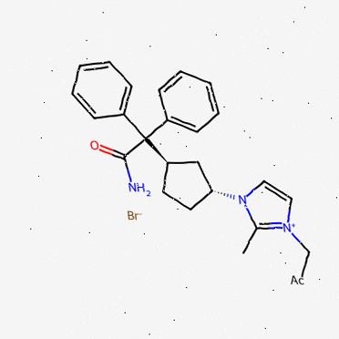 CC(=O)C[n+]1ccn([C@@H]2CC[C@@H](C(C(N)=O)(c3ccccc3)c3ccccc3)C2)c1C.[Br-]